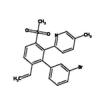 C=Cc1ccc(S(C)(=O)=O)c(-c2ccc(C)cn2)c1-c1cccc(Br)c1